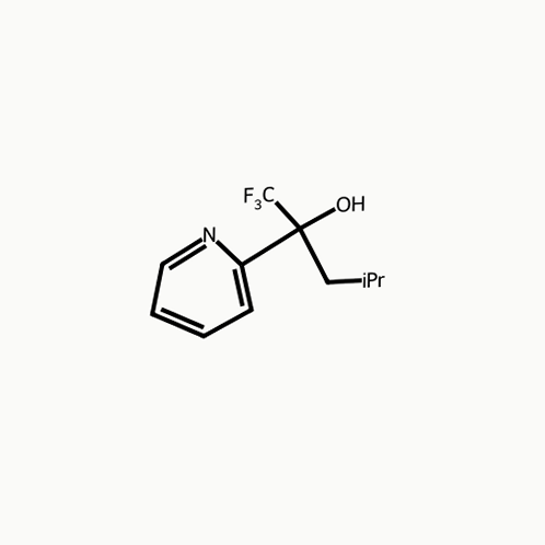 CC(C)CC(O)(c1ccccn1)C(F)(F)F